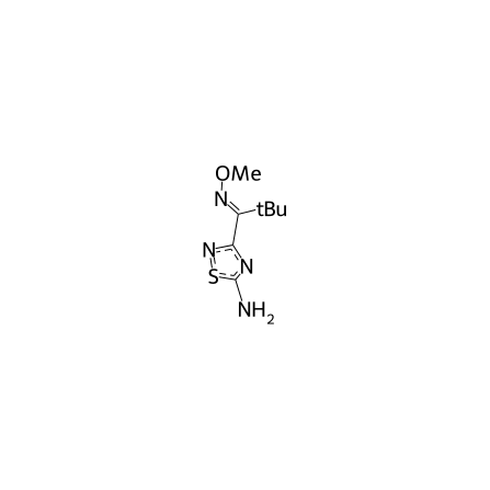 CON=C(c1nsc(N)n1)C(C)(C)C